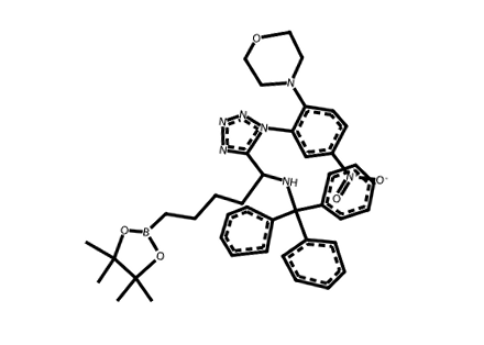 CC1(C)OB(CCCCC(NC(c2ccccc2)(c2ccccc2)c2ccccc2)c2nnnn2-c2cc([N+](=O)[O-])ccc2N2CCOCC2)OC1(C)C